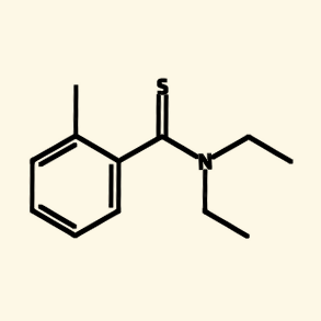 CCN(CC)C(=S)c1ccccc1C